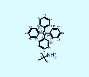 CC(C)(C)[NH3+].c1ccc([B-](c2ccccc2)(c2ccccc2)c2ccccc2)cc1